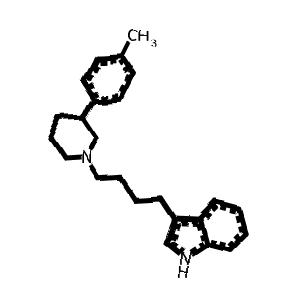 Cc1ccc(C2CCCN(CCCCc3c[nH]c4ccccc34)C2)cc1